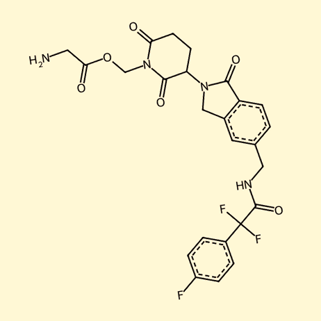 NCC(=O)OCN1C(=O)CCC(N2Cc3cc(CNC(=O)C(F)(F)c4ccc(F)cc4)ccc3C2=O)C1=O